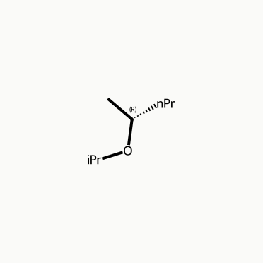 CCC[C@@H](C)OC(C)C